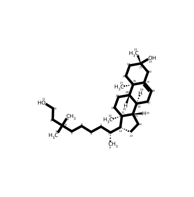 C[C@H](CCCCC(C)(C)CCO)[C@H]1CC[C@H]2[C@@H]3CC=C4C[C@@](C)(O)CC[C@]4(C)[C@H]3CC[C@]12C